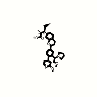 COCC(c1cc(C2CCc3ccc([C@H](C4CC4)[C@H](C)C(=O)O)cc3O2)ccc1-c1ccnc(OC)c1)N1CCCC1